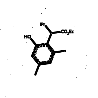 CCOC(=O)C(c1c(C)cc(C)cc1O)C(C)C